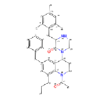 CCCc1cc(Cc2ccccc2)cc2c1N(C(C)=O)CCC2N(CC)C(=O)C(N)Cc1c(C)cc(C)cc1C